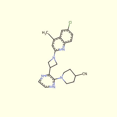 Cc1cc(N2CC(c3nccnc3N3CCC(C#N)CC3)C2)nc2ccc(Cl)cc12